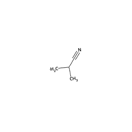 [CH2]C(C)C#N